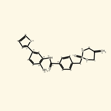 C=C1COP(=O)(Cc2ccc(C(=O)Nc3cc(-c4cccs4)ccc3N)cc2)OC1